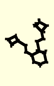 C1[Se]CC(CCC2CS[Te]2)C(CCC2CS[Te]2)[Se]1